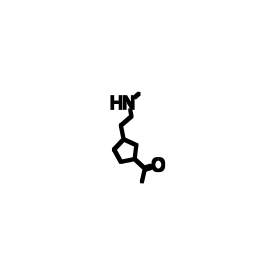 CNCCC1CCC(C(C)=O)C1